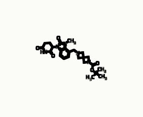 Cn1c(=O)n(C2CCC(=O)NC2=O)c2cccc(CN3CC4(C3)CN(C(=O)OC(C)(C)C)C4)c21